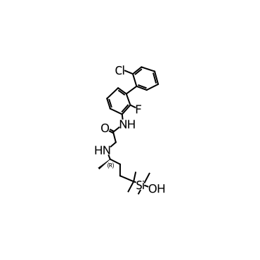 C[C@H](CCC(C)(C)[Si](C)(C)O)NCC(=O)Nc1cccc(-c2ccccc2Cl)c1F